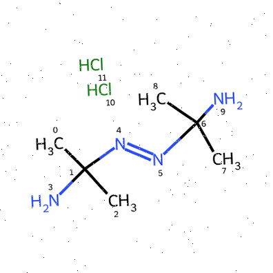 CC(C)(N)/N=N/C(C)(C)N.Cl.Cl